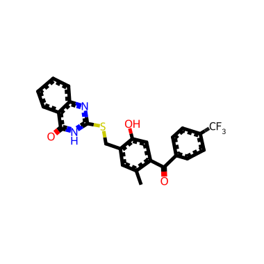 Cc1cc(CSc2nc3ccccc3c(=O)[nH]2)c(O)cc1C(=O)c1ccc(C(F)(F)F)cc1